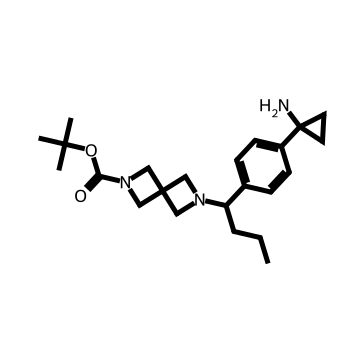 CCCC(c1ccc(C2(N)CC2)cc1)N1CC2(CN(C(=O)OC(C)(C)C)C2)C1